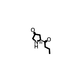 CCCC(=O)[C@@H]1CC(=O)CN1